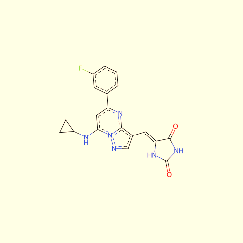 O=C1NC(=O)C(=Cc2cnn3c(NC4CC4)cc(-c4cccc(F)c4)nc23)N1